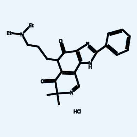 CCN(CC)CCCC1C(=O)c2nc(-c3ccccc3)[nH]c2C2=C1C(=O)C(C)(C)N=C2.Cl